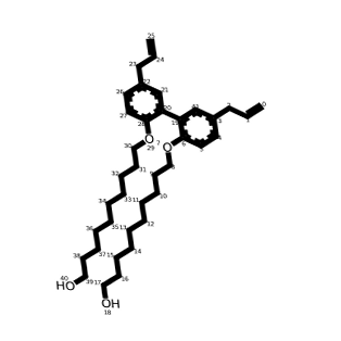 C=CCc1ccc(OCCCCCCCCCCO)c(-c2cc(CC=C)ccc2OCCCCCCCCCCO)c1